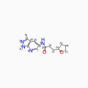 Cc1nn(C)c2ncc(NC(=O)CCC3CCCO3)cc12